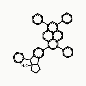 CC12CCCC1c1cc(-c3cc(-c4ccccc4)c4ccc5c(-c6ccccc6)cc(-c6ccccc6)c6ccc3c4c56)ccc1N2c1ccccc1